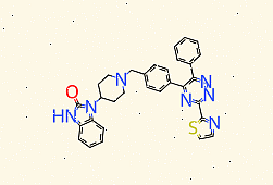 O=c1[nH]c2ccccc2n1C1CCN(Cc2ccc(-c3nc(-c4nccs4)nnc3-c3ccccc3)cc2)CC1